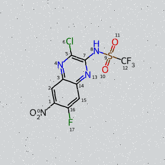 O=[N+]([O-])c1cc2nc(Cl)c(NS(=O)(=O)C(F)(F)F)nc2cc1F